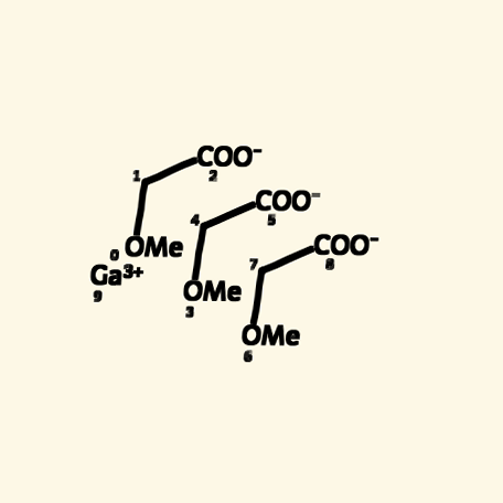 COCC(=O)[O-].COCC(=O)[O-].COCC(=O)[O-].[Ga+3]